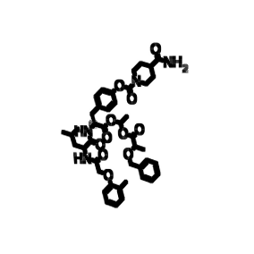 Cc1ccccc1OCC(=O)NC(CC(C)C)C(=O)N[C@@H](Cc1ccc(OC(=O)N2CCC(C(N)=O)CC2)cc1)C(=O)OC(C)OC(=O)C(C)OCc1ccccc1